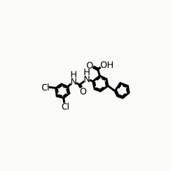 O=C(Nc1cc(Cl)cc(Cl)c1)Nc1ccc(-c2ccccc2)cc1C(=O)O